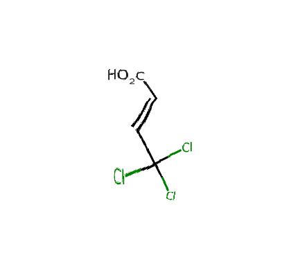 O=C(O)C=CC(Cl)(Cl)Cl